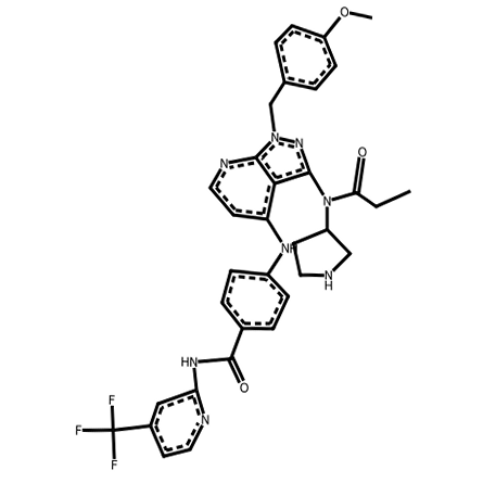 CCC(=O)N(c1nn(Cc2ccc(OC)cc2)c2nccc(Nc3ccc(C(=O)Nc4cc(C(F)(F)F)ccn4)cc3)c12)C1CCNC1